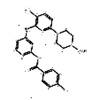 O=C(Nc1cc(Nc2nc(N3CCN(C(=O)O)CC3)ccc2[N+](=O)[O-])ccn1)c1ccc(F)cc1